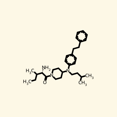 CCC(C)[C@H](N)C(=O)N1CCC(N(CCC(C)C)c2ccc(CCc3ccccc3)cc2)CC1